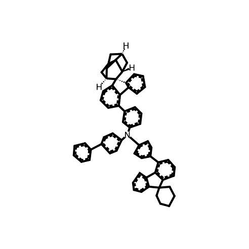 c1ccc(-c2ccc(N(c3ccc(-c4cccc5c4-c4ccccc4C54CCCCC4)cc3)c3cccc(-c4cccc5c4-c4ccccc4[C@]54[C@@H]5CC6C[C@@H](C5)C[C@@H]4C6)c3)cc2)cc1